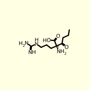 CCCC(=O)[C@](N)(CCCNC(=N)N)C(=O)O